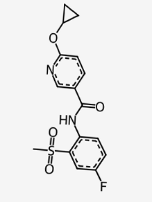 CS(=O)(=O)c1cc(F)ccc1NC(=O)c1ccc(OC2CC2)nc1